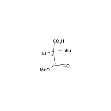 CCCC[C@](CC)(C(=O)O)C(=O)OC